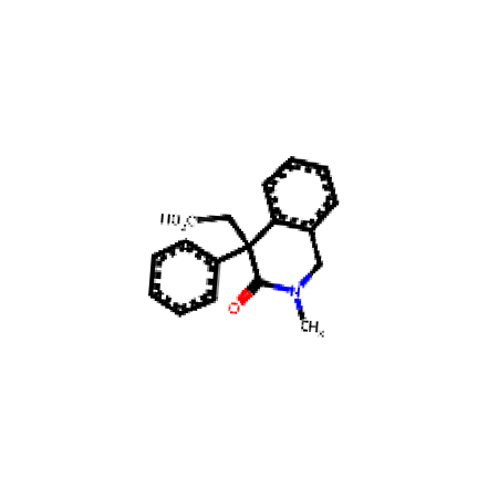 CN1Cc2ccccc2C(CC(=O)O)(c2ccccc2)C1=O